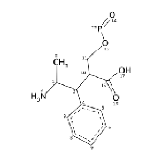 CC(N)C(c1ccccc1)C(COP=O)C(=O)O